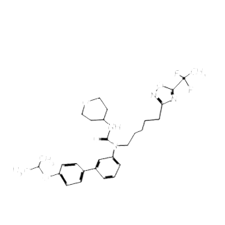 CC(C)Oc1ccc(-c2cccc(N(CCCCCc3noc(C(C)(F)F)n3)C(=O)NC3CCOCC3)c2)cc1